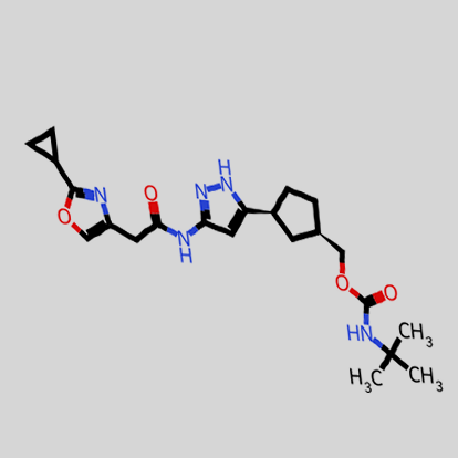 CC(C)(C)NC(=O)OC[C@@H]1CC[C@H](c2cc(NC(=O)Cc3coc(C4CC4)n3)n[nH]2)C1